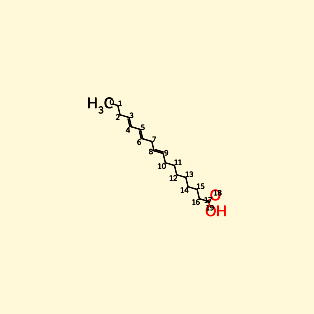 CCCC=CC=CCC=CCCCCCCCC(=O)O